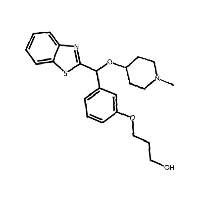 CN1CCC(OC(c2cccc(OCCCO)c2)c2nc3ccccc3s2)CC1